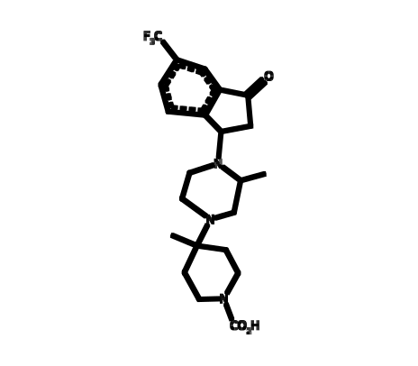 CC1CN(C2(C)CCN(C(=O)O)CC2)CCN1C1CC(=O)c2cc(C(F)(F)F)ccc21